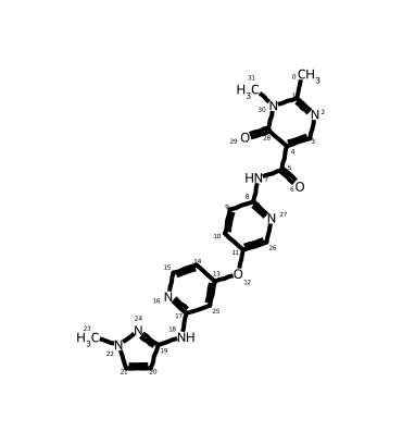 Cc1ncc(C(=O)Nc2ccc(Oc3ccnc(Nc4ccn(C)n4)c3)cn2)c(=O)n1C